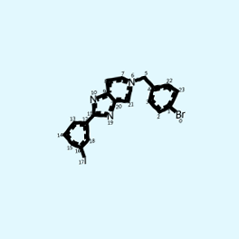 Brc1ccc(Cn2ccc3nc(-c4cccc(I)c4)nc-3c2)cc1